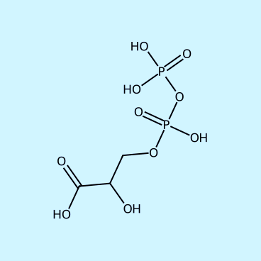 O=C(O)C(O)COP(=O)(O)OP(=O)(O)O